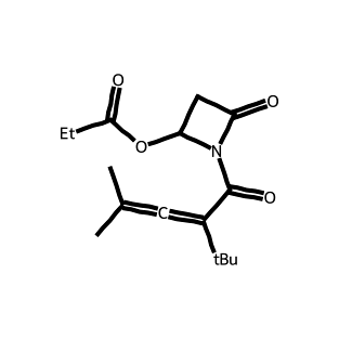 CCC(=O)OC1CC(=O)N1C(=O)C(=C=C(C)C)C(C)(C)C